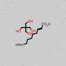 CCCCCCCCCCCCCCC/C=C/C(=O)O.OCC(CO)(CO)CO